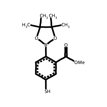 COC(=O)c1cc(S)ccc1B1OC(C)(C)C(C)(C)O1